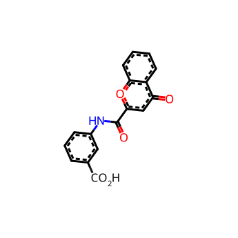 O=C(O)c1cccc(NC(=O)c2cc(=O)c3ccccc3o2)c1